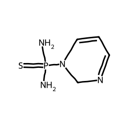 NP(N)(=S)N1C=CC=NC1